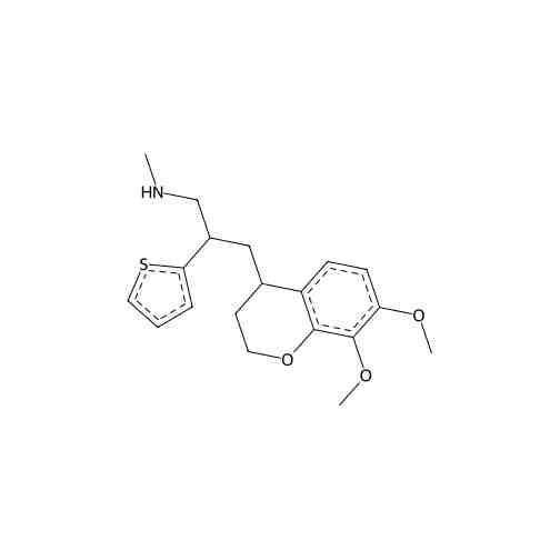 CNCC(CC1CCOc2c1ccc(OC)c2OC)c1cccs1